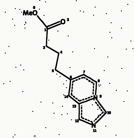 COC(=O)CCCc1ccn2cncc2c1